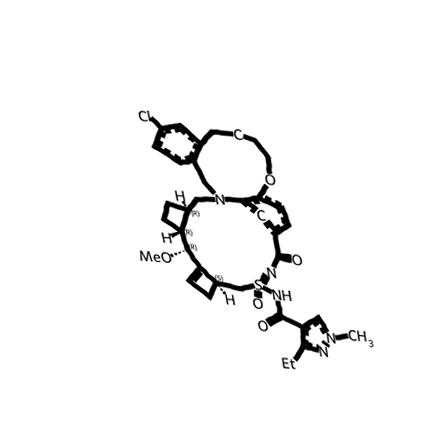 CCc1nn(C)cc1C(=O)NS1(=O)=NC(=O)c2ccc3c(c2)N(Cc2ccc(Cl)cc2CCCCO3)C[C@@H]2CC[C@H]2[C@@H](OC)C2=CC[C@@H]2C1